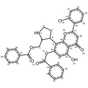 O=C(OCC1NCCC1c1c(OC(=O)c2ccccc2)cc(O)c2c(=O)cc(-c3ccccc3Cl)oc12)c1ccccc1